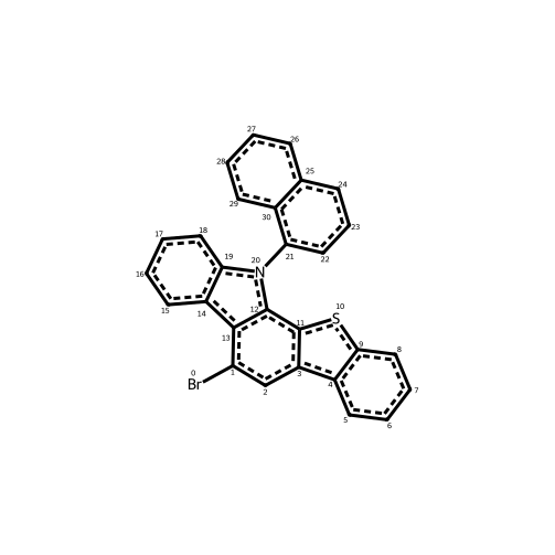 Brc1cc2c3ccccc3sc2c2c1c1ccccc1n2-c1cccc2ccccc12